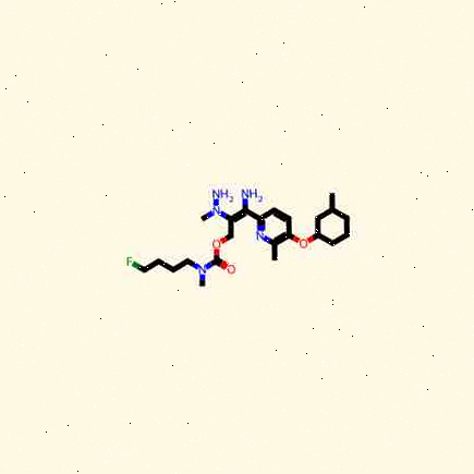 Cc1nc(/C(N)=C(\COC(=O)N(C)CCCCF)N(C)N)ccc1OC1CCCC(C)C1